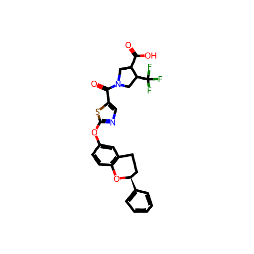 O=C(O)C1CN(C(=O)c2cnc(Oc3ccc4c(c3)CC[C@@H](c3ccccc3)O4)s2)CC1C(F)(F)F